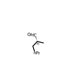 CCCC[C@@H](C)C=O